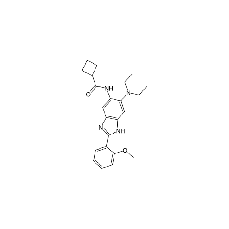 CCN(CC)c1cc2[nH]c(-c3ccccc3OC)nc2cc1NC(=O)C1CCC1